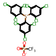 Clc1cc(Cl)c([S+](c2c(Cl)cc(Cl)cc2Cl)c2c(Cl)cc(Cl)cc2Cl)c(Cl)c1.O=S(=O)([O-])C(F)(F)F